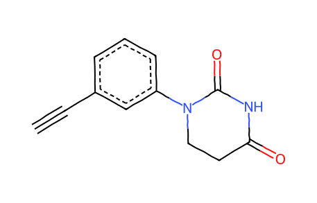 C#Cc1cccc(N2CCC(=O)NC2=O)c1